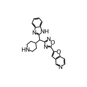 c1ccc2[nH]c(C(c3noc(-c4cc5cnccc5o4)n3)C3CCNCC3)nc2c1